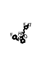 O=C(NCCc1ccc(Cl)c(F)c1)c1cn(Cc2ccc(F)cc2)c2ccccc12